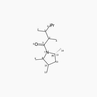 CC(C)C(C)C(C)C(=O)N1C(C)C(C)C[C@H]1C